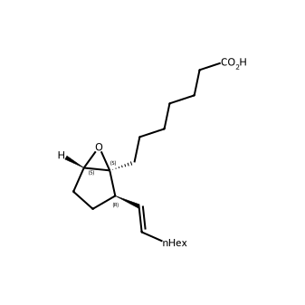 CCCCCCC=C[C@H]1CC[C@@H]2O[C@]21CCCCCCC(=O)O